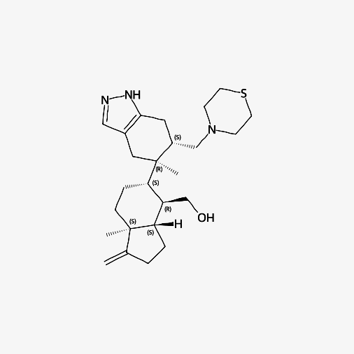 C=C1CC[C@H]2[C@H](CO)[C@@H]([C@@]3(C)Cc4cn[nH]c4C[C@@H]3CN3CCSCC3)CC[C@]12C